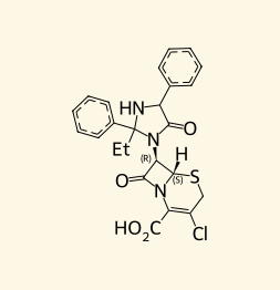 CCC1(c2ccccc2)NC(c2ccccc2)C(=O)N1[C@@H]1C(=O)N2C(C(=O)O)=C(Cl)CS[C@@H]12